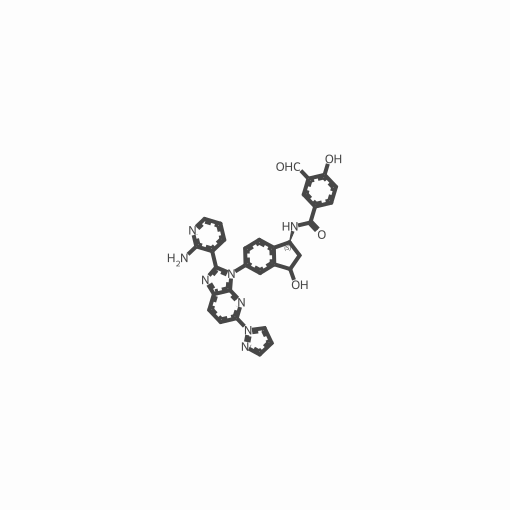 Nc1ncccc1-c1nc2ccc(-n3cccn3)nc2n1-c1ccc2c(c1)C(O)C[C@@H]2NC(=O)c1ccc(O)c(C=O)c1